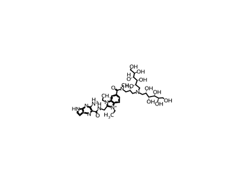 CCn1c(CNC(=O)c2nc3cc[nH]c3nc2N)[n+](CC)c2ccc(C(=O)N(C)CCCN(C[C@H](O)[C@@H](O)[C@H](O)[C@H](O)CO)C[C@H](O)[C@@H](O)[C@H](O)[C@H](O)CO)cc21